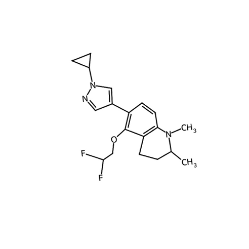 CC1CCc2c(ccc(-c3cnn(C4CC4)c3)c2OCC(F)F)N1C